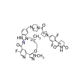 C[C@@H]1CCCOc2c(cnn2C)-c2cc(c(F)cn2)C(=O)/N=C2\Nc3ccc(CN4CCN(C(=O)[C@@H]5CCN(c6cc(F)c([C@H]7CCC(=O)NC7=O)c(F)c6)C5)CC4)cc3N2C1